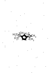 C[Si](C)(C)[C]1C=CC([Si](C)(C)C)=C1